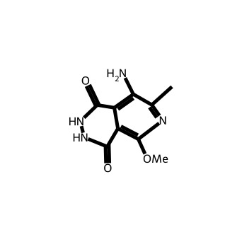 COc1nc(C)c(N)c2c(=O)[nH][nH]c(=O)c12